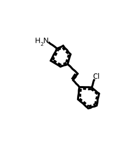 Nc1ccc(/C=C/c2ccccc2Cl)cc1